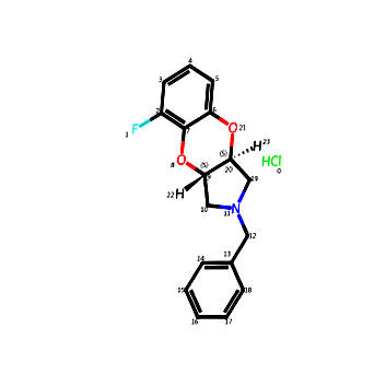 Cl.Fc1cccc2c1O[C@H]1CN(Cc3ccccc3)C[C@@H]1O2